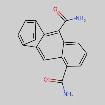 NC(=O)c1cccc2c(C(N)=O)c3c4ccc(cc4)c3cc12